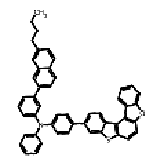 CCCCc1ccc2ccc(-c3cccc(N(c4ccccc4)c4ccc(-c5ccc6c(c5)sc5ccc7oc8ccccc8c7c56)cc4)c3)cc2c1